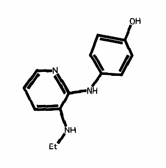 CCNc1cccnc1Nc1ccc(O)cc1